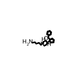 NCCCCCN1CC[C@H]2c3ccccc3C(c3ccccc3)O[C@H]2C1